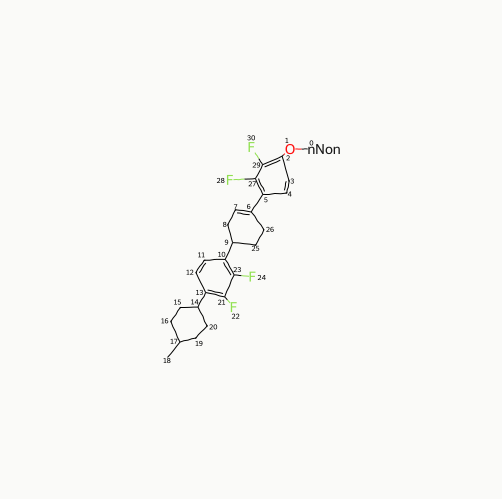 CCCCCCCCCOc1ccc(C2=CCC(c3ccc(C4CCC(C)CC4)c(F)c3F)CC2)c(F)c1F